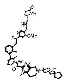 COc1cc(/C(F)=C/c2cccc(-c3cccc(NC(=O)c4nc5c(n4C)CCN(CCCCC4(C(=O)O)CCCC4)C5)c3C)c2C)ncc1CNC[C@@H]1CCC(=O)N1